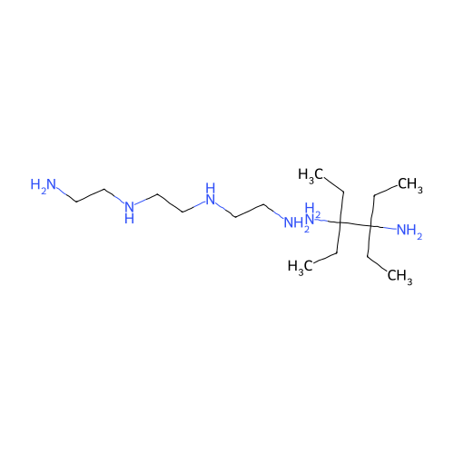 CCC(N)(CC)C(N)(CC)CC.NCCNCCNCCN